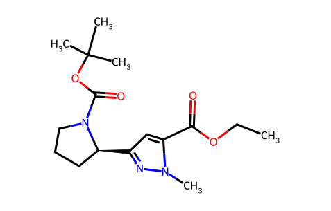 CCOC(=O)c1cc([C@H]2CCCN2C(=O)OC(C)(C)C)nn1C